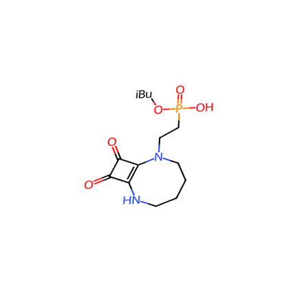 CCC(C)OP(=O)(O)CCN1CCCCNc2c1c(=O)c2=O